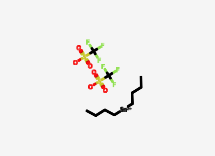 CCC[CH2][Sn+2][CH2]CCC.O=S(=O)([O-])C(F)(F)F.O=S(=O)([O-])C(F)(F)F